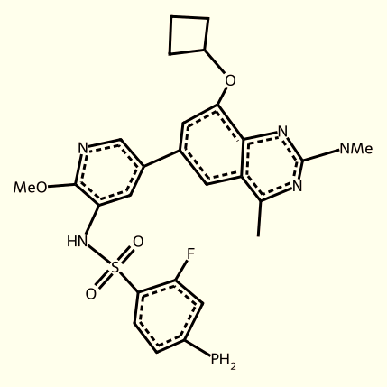 CNc1nc(C)c2cc(-c3cnc(OC)c(NS(=O)(=O)c4ccc(P)cc4F)c3)cc(OC3CCC3)c2n1